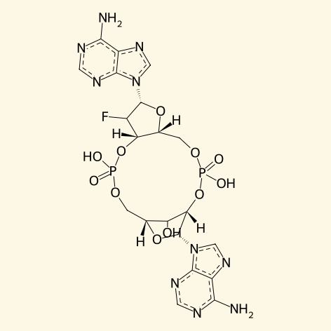 Nc1ncnc2c1ncn2[C@@H]1O[C@@H]2COP(=O)(O)O[C@H]3C(O)[C@@H](COP(=O)(O)O[C@@H]2C1F)O[C@H]3n1cnc2c(N)ncnc21